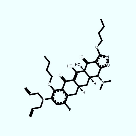 C=CCN(CC=C)c1cc(F)c2c(c1OCCCC)C(=O)C1=C(O)[C@]3(O)C(=O)c4c(OCCCC)noc4[C@@H](N(C)C)[C@@H]3C[C@@H]1C2